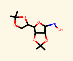 CC1(C)OCC(C2OC(NO)C3OC(C)(C)OC23)O1